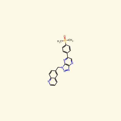 CP(C)(=O)c1ccc(-c2cnc3nnn(Cc4ccc5ncccc5c4)c3n2)cc1